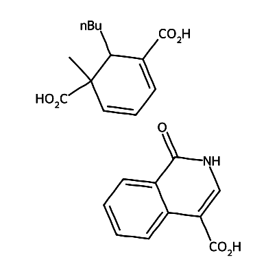 CCCCC1C(C(=O)O)=CC=CC1(C)C(=O)O.O=C(O)c1c[nH]c(=O)c2ccccc12